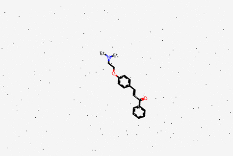 CCN(CC)CCOc1ccc(/C=C/C(=O)c2ccccc2)cc1